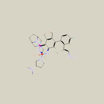 C[C@@H](O)CN1CC2CCC(C1)N2c1nc(N2CC[C@H](N(C)C)C2)nc2c(Cl)c(-c3ccc(F)c4sc(N)c(C#N)c34)c3c(c12)COC3